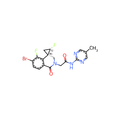 Cc1cnc(NC(=O)CN2C[C@@]3(C[C@@H]3F)c3c(ccc(Br)c3F)C2=O)nc1